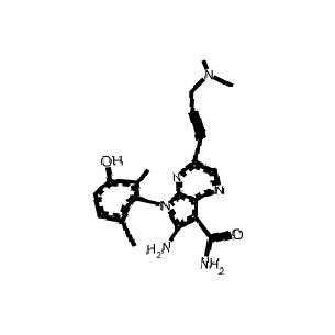 Cc1ccc(O)c(C)c1-n1c(N)c(C(N)=O)c2ncc(C#CCN(C)C)nc21